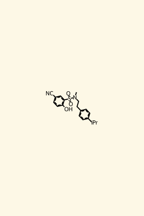 CC(C)c1ccc(CCN(C)S(=O)(=O)c2cc(C#N)ccc2O)cc1